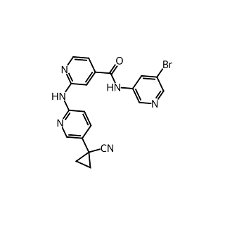 N#CC1(c2ccc(Nc3cc(C(=O)Nc4cncc(Br)c4)ccn3)nc2)CC1